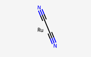 N#CC#N.[Ru]